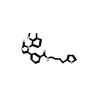 COc1c(C)cccc1-n1c(-c2cccc(C(=O)NCCCCc3cccs3)c2)csc1=O